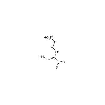 C=C(C)C(=O)OCCS(=O)(=O)O.N